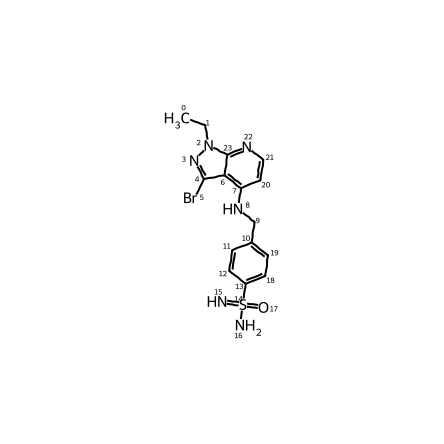 CCn1nc(Br)c2c(NCc3ccc(S(=N)(N)=O)cc3)ccnc21